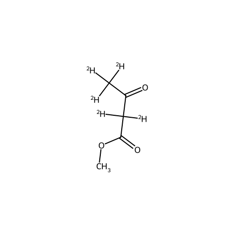 [2H]C([2H])([2H])C(=O)C([2H])([2H])C(=O)OC